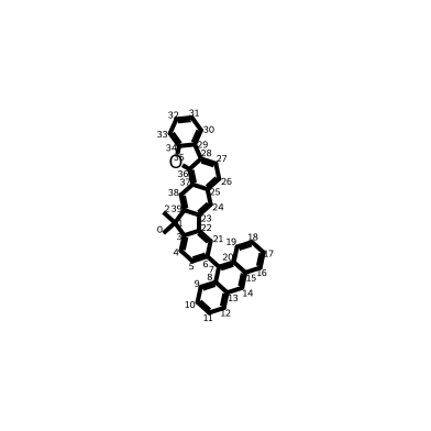 CC1(C)c2ccc(-c3c4ccccc4cc4ccccc34)cc2-c2cc3ccc4c5ccccc5oc4c3cc21